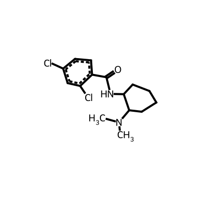 CN(C)C1CCCCC1NC(=O)c1ccc(Cl)cc1Cl